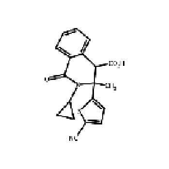 CC1(c2ccc(C#N)s2)C(C(=O)O)c2ccccc2C(=O)N1C1CC1